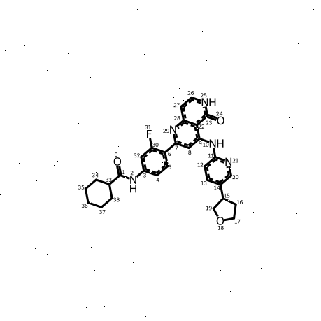 O=C(Nc1ccc(-c2cc(Nc3ccc(C4CCOC4)cn3)c3c(=O)[nH]ccc3n2)c(F)c1)C1CCCCC1